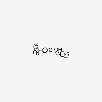 O[C@@H](COc1ccc(-c2noc3ccsc23)cc1)CN1CCc2sccc2C1